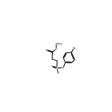 CCCCCOC(=O)CCP(C)(=O)Oc1ccc(Br)cc1